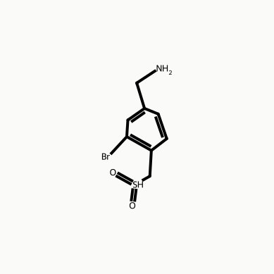 NCc1ccc(C[SH](=O)=O)c(Br)c1